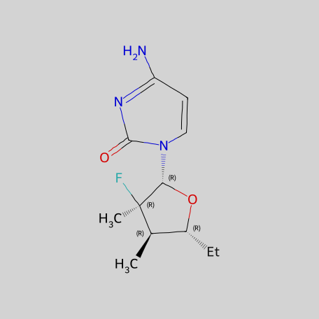 CC[C@H]1O[C@@H](n2ccc(N)nc2=O)[C@](C)(F)[C@@H]1C